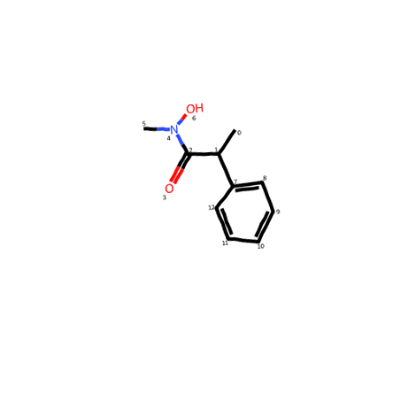 CC(C(=O)N(C)O)c1ccccc1